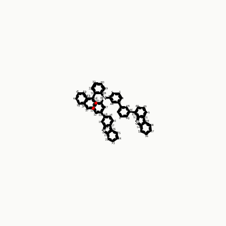 c1cc(-c2cccc(N(c3cccc(-c4ccc5c(c4)sc4ccccc45)c3)c3ccccc3-c3cccc4ccccc34)c2)cc(-c2cccc3c2sc2ccccc23)c1